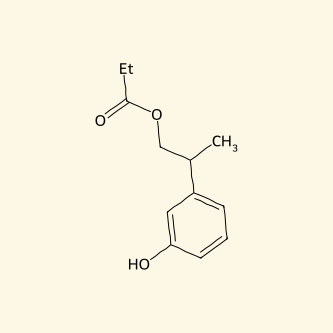 CCC(=O)OCC(C)c1cccc(O)c1